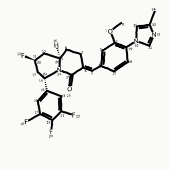 COc1cc(C=C2CC[C@@H]3C[C@H](F)C[C@@H](c4cc(F)c(F)c(F)c4)N3C2=O)ccc1-n1cnc(C)c1